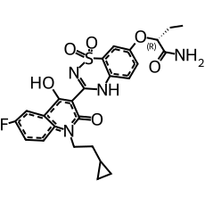 CC[C@@H](Oc1ccc2c(c1)S(=O)(=O)N=C(c1c(O)c3cc(F)ccc3n(CCC3CC3)c1=O)N2)C(N)=O